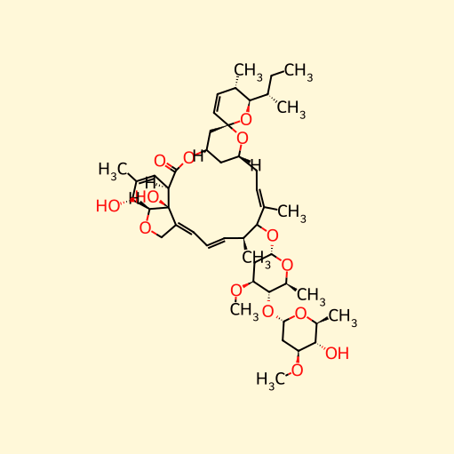 CC[C@H](C)[C@H]1O[C@]2(C=C[C@@H]1C)C[C@@H]1C[C@@H](C/C=C(\C)C(O[C@H]3C[C@H](OC)[C@@H](O[C@H]4C[C@H](OC)[C@@H](O)[C@H](C)O4)[C@H](C)O3)[C@@H](C)/C=C/C=C3\CO[C@@H]4[C@H](O)C(C)=C[C@@H](C(=O)O1)[C@]34O)O2